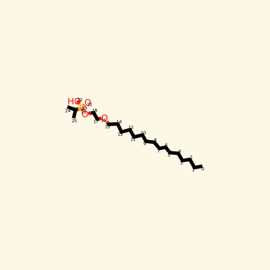 CCCCCCCCCCCCCCCCOCCOP(=O)(O)C(C)C